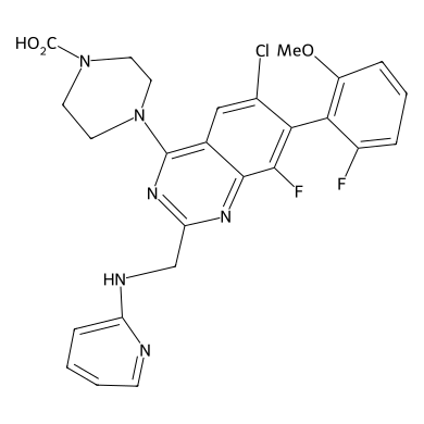 COc1cccc(F)c1-c1c(Cl)cc2c(N3CCN(C(=O)O)CC3)nc(CNc3ccccn3)nc2c1F